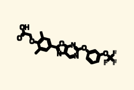 Cc1cc(-c2nc3cnc(Oc4cccc(OC(F)(F)F)c4)nc3o2)cc(C)c1OCC(=O)O